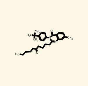 CCCCCC(=O)CCCCc1nc2cc(C)ccc2c(=O)n1-c1ccc(C(C)(C)C)cc1